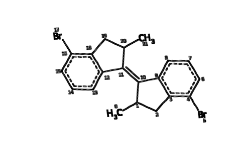 CC1Cc2c(Br)cccc2C1=C1c2cccc(Br)c2CC1C